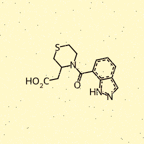 O=C(O)CC1CSCCN1C(=O)c1cccc2cn[nH]c12